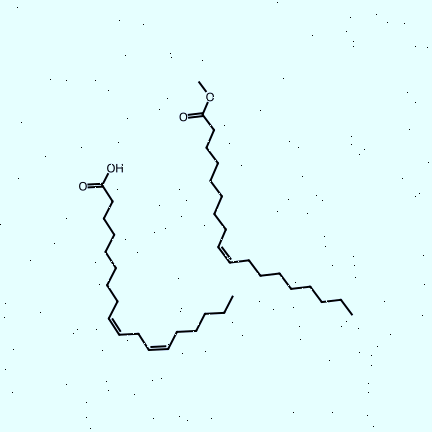 CCCCC/C=C\C/C=C\CCCCCCCC(=O)O.CCCCCCCC/C=C\CCCCCCCC(=O)OC